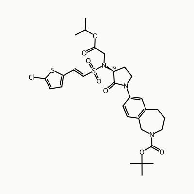 CC(C)OC(=O)CN([C@H]1CCN(c2ccc3c(c2)CCCN(C(=O)OC(C)(C)C)C3)C1=O)S(=O)(=O)C=Cc1ccc(Cl)s1